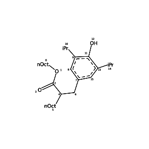 CCCCCCCCOC(=O)C(CCCCCCCC)Cc1cc(C(C)C)c(O)c(C(C)C)c1